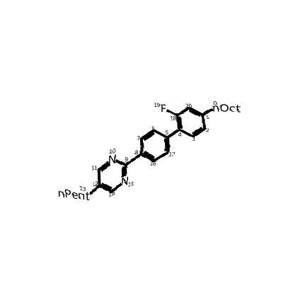 CCCCCCCCc1ccc(-c2ccc(-c3ncc(CCCCC)cn3)cc2)c(F)c1